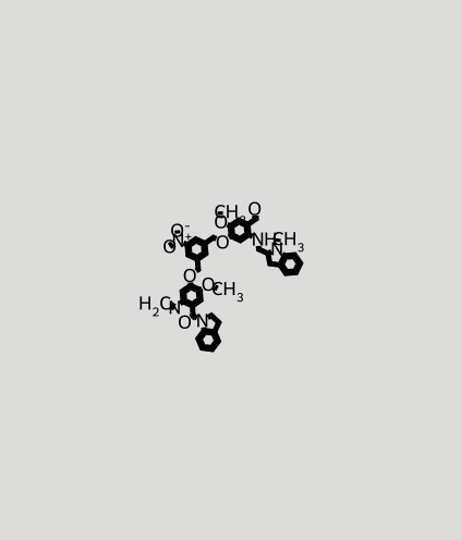 C=Nc1cc(OCc2cc(COc3cc(NCC4Cc5ccccc5N4C)c(C=O)cc3OC)cc([N+](=O)[O-])c2)c(OC)cc1C(=O)N1CCc2ccccc21